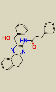 O=C(CCc1ccccc1)Nc1nc2c(nc1C(O)c1ccccc1)-c1ccccc1CC2